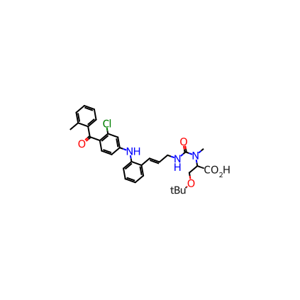 Cc1ccccc1C(=O)c1ccc(Nc2ccccc2C=CCNC(=O)N(C)C(COC(C)(C)C)C(=O)O)cc1Cl